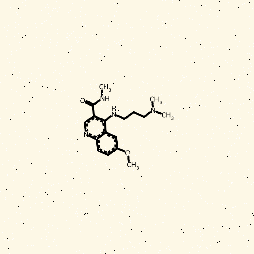 CNC(=O)c1cnc2ccc(OC)cc2c1NCCCN(C)C